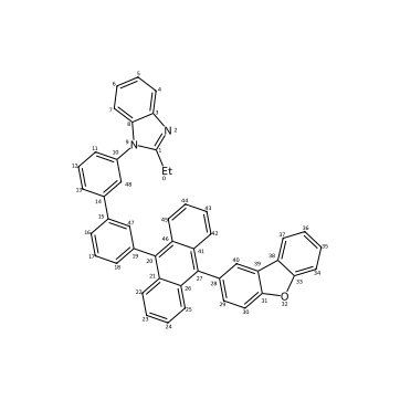 CCc1nc2ccccc2n1-c1cccc(-c2cccc(-c3c4ccccc4c(-c4ccc5oc6ccccc6c5c4)c4ccccc34)c2)c1